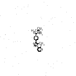 Cc1c(C2=CCN(C(=O)NC(C)(C)C)CC2)nnn1-c1cccnc1F